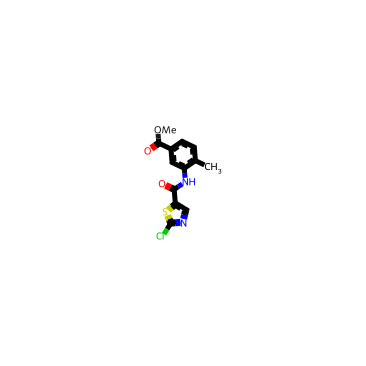 COC(=O)c1ccc(C)c(NC(=O)c2cnc(Cl)s2)c1